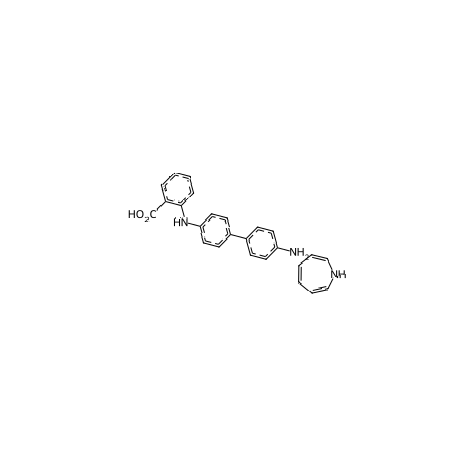 C1=CC=CNC=C1.Nc1ccc(-c2ccc(Nc3ccccc3C(=O)O)cc2)cc1